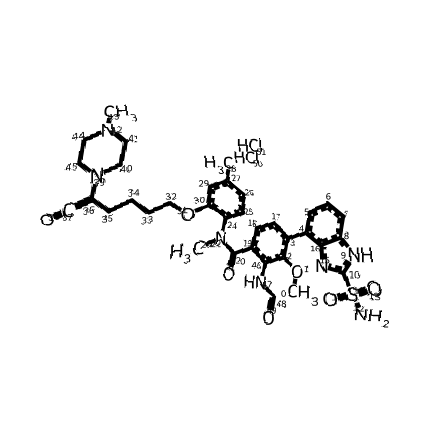 COc1c(-c2cccc3[nH]c(S(N)(=O)=O)nc23)ccc(C(=O)N(C)c2ccc(C)cc2OCCCCC(=C=O)N2CCN(C)CC2)c1NC=O.Cl.Cl